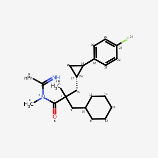 CCCC(=N)N(C)C(=O)C(C)(CC1CCCCC1)C[C@@H]1CC1c1ccc(F)cc1